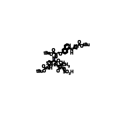 CC(C)(C)OC(=O)Nc1nc(/C(=N/O[C@@H](COc2ccc3c(NC4CN(C(=O)OC(C)(C)C)C4)nccc3c2)C(=O)OC(C)(C)C)C(=O)N[C@@H]2C(=O)N(OS(=O)(=O)O)C2(C)C)cs1